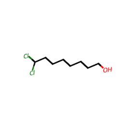 OCCCCCCCC(Cl)Cl